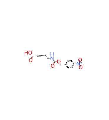 O=C(O)C#CCCNC(=O)OCc1ccc([N+](=O)[O-])cc1